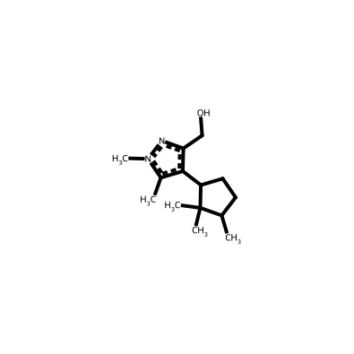 Cc1c(C2CCC(C)C2(C)C)c(CO)nn1C